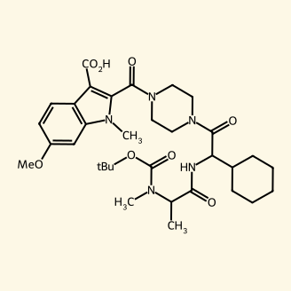 COc1ccc2c(C(=O)O)c(C(=O)N3CCN(C(=O)C(NC(=O)C(C)N(C)C(=O)OC(C)(C)C)C4CCCCC4)CC3)n(C)c2c1